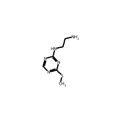 CSc1ncnc(NCCN)n1